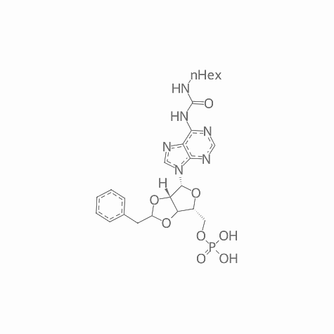 CCCCCCNC(=O)Nc1ncnc2c1ncn2[C@@H]1O[C@H](COP(=O)(O)O)C2OC(Cc3ccccc3)O[C@@H]21